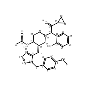 COc1ccc(Cn2nnnc2/C=C2/CN(C(C(=O)C3CC3)c3ccccc3F)CCC2SC(C)=O)cc1